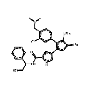 CNc1c(-c2ccc(CN(C)C)c(Cl)c2)c(-c2c[nH]c(C(=O)NC(CO)c3ccccc3)c2)nn1C(C)(C)C